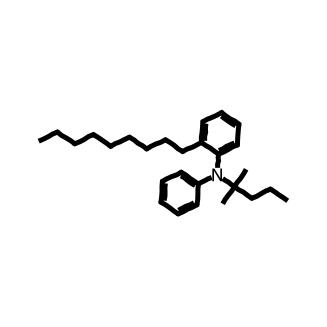 CCCCCCCCCc1ccccc1N(c1ccccc1)C(C)(C)CCC